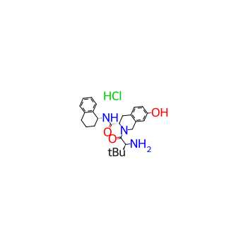 CC(C)(C)[C@H](N)C(=O)N1Cc2cc(O)ccc2C[C@H]1C(=O)N[C@@H]1CCCc2ccccc21.Cl